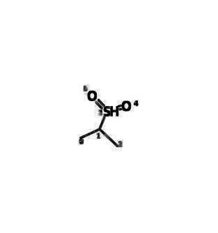 CC(C)[SH](=O)=O